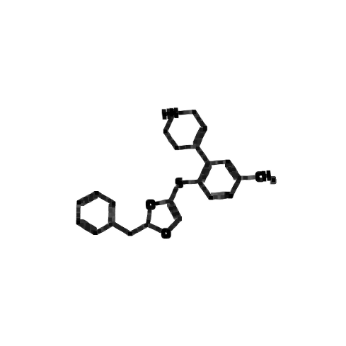 Cc1ccc(SC2=COC(Cc3ccccc3)O2)c(C2=CCNCC2)c1